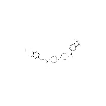 O=C(CCc1ccc(C(F)(F)F)c(F)c1)N1CCN(C2CCN(C(=O)c3ccc4[nH]nnc4c3)CC2)CC1